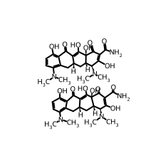 CN(C)c1ccc(O)c2c1C[C@H]1C[C@H]3[C@H](N(C)C)C(O)=C(C(N)=O)C(=O)[C@@]3(O)C(O)=C1C2=O.CN(C)c1ccc(O)c2c1C[C@H]1C[C@H]3[C@H](N(C)C)C(O)=C(C(N)=O)C(=O)[C@@]3(O)C(O)=C1C2=O